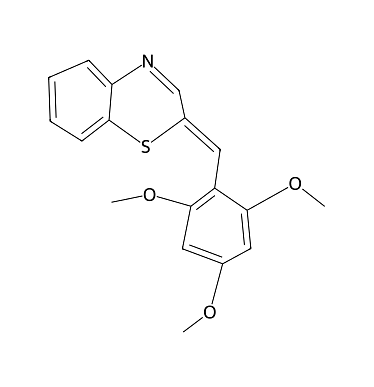 COc1cc(OC)c(C=C2C=Nc3ccccc3S2)c(OC)c1